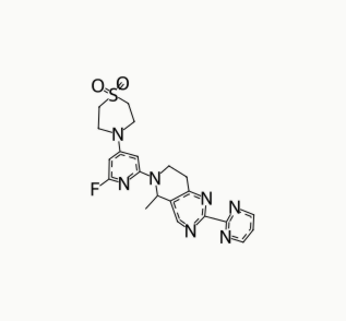 CC1c2cnc(-c3ncccn3)nc2CCN1c1cc(N2CCS(=O)(=O)CC2)cc(F)n1